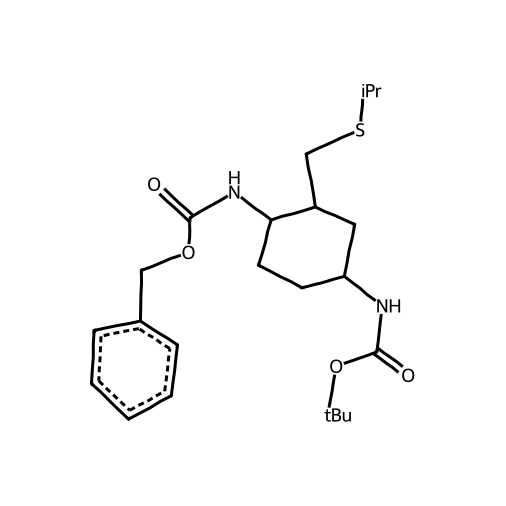 CC(C)SCC1CC(NC(=O)OC(C)(C)C)CCC1NC(=O)OCc1ccccc1